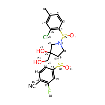 Cc1ccc([S+]([O-])N2C[C@H]([S+]([O-])c3ccc(C#N)c(F)c3)C(O)(CO)C2)c(Cl)c1